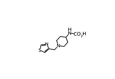 O=C(O)NC1CCN(Cc2cscn2)CC1